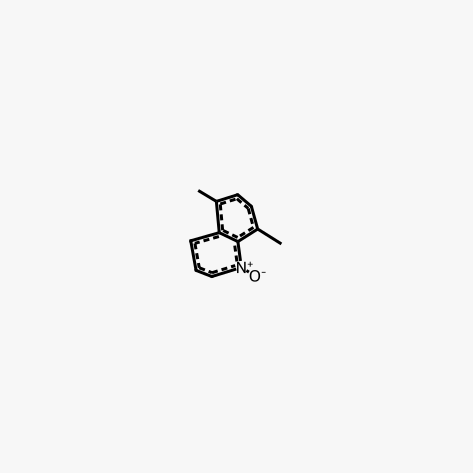 Cc1ccc(C)c2c1ccc[n+]2[O-]